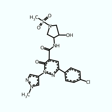 Cn1cc(-n2nc(-c3ccc(Cl)cc3)cc(C(=O)NC3CN(S(C)(=O)=O)CC3O)c2=O)cn1